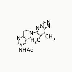 CC(=O)Nc1cnc2c(c1)CN(c1nn3cnnc3c(C)c1C)CC2